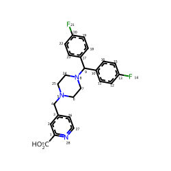 O=C(O)c1cc(CN2CCN(C(c3ccc(F)cc3)c3ccc(F)cc3)CC2)ccn1